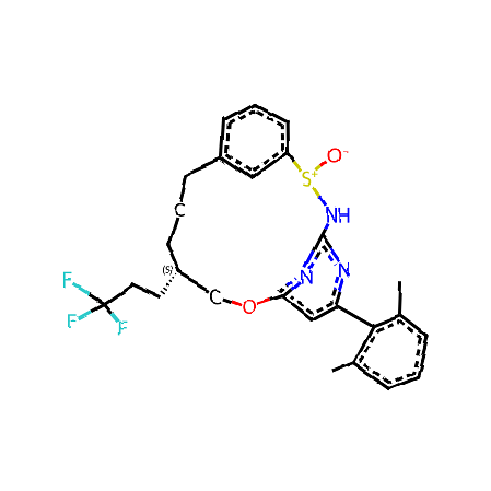 Cc1cccc(C)c1-c1cc2nc(n1)N[S+]([O-])c1cccc(c1)CCC[C@@H](CCC(F)(F)F)CO2